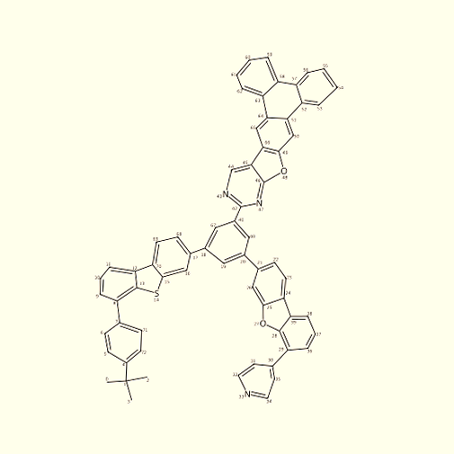 CC(C)(C)c1ccc(-c2cccc3c2sc2cc(-c4cc(-c5ccc6c(c5)oc5c(-c7ccncc7)cccc56)cc(-c5ncc6c(n5)oc5cc7c8ccccc8c8ccccc8c7cc56)c4)ccc23)cc1